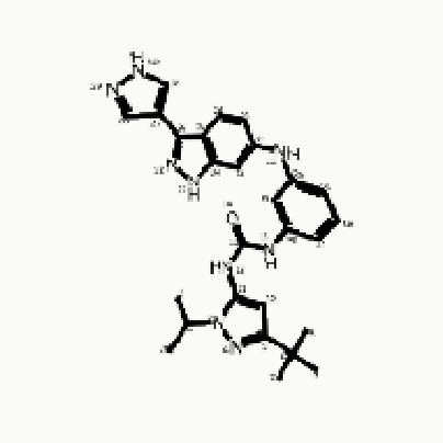 CC(C)n1nc(C(C)(C)C)cc1NC(=O)Nc1cccc(Nc2ccc3c(-c4cn[nH]c4)n[nH]c3c2)c1